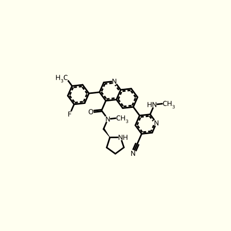 CNc1ncc(C#N)cc1-c1ccc2ncc(-c3cc(C)cc(F)c3)c(C(=O)N(C)C[C@@H]3CCCN3)c2c1